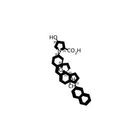 C[C@]12CC=C3C=C4CC[C@@H](N5C[C@H](O)C[C@H]5C(=O)O)C[C@]45CC[C@]3(O5)[C@@H]1CC[C@@H]2c1ccc2ccccc2c1